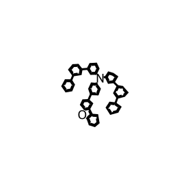 c1ccc(-c2cccc(-c3cccc(N(c4ccc(-c5ccc6oc7ccccc7c6c5)cc4)c4cccc(-c5cccc(-c6ccccc6)c5)c4)c3)c2)cc1